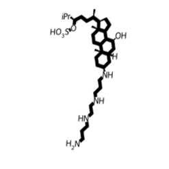 CC(C)[C@@H](CC[C@@H](C)[C@H]1CCC2C3C(CC[C@@]21C)[C@@]1(C)CC[C@H](NCCCNCCNCCCN)C[C@H]1C[C@H]3O)OS(=O)(=O)O